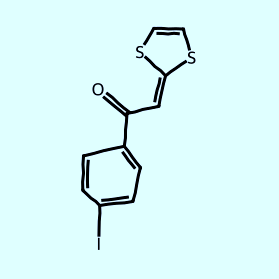 O=C(C=C1SC=CS1)c1ccc(I)cc1